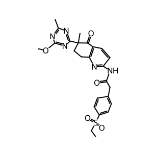 CCS(=O)(=O)c1ccc(CC(=O)Nc2ccc3c(n2)CCC(C)(c2nc(C)nc(OC)n2)C3=O)cc1